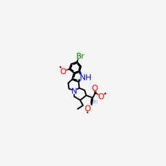 CCC1CN2CCc3c([nH]c4cc(Br)cc(OC)c34)C2CC1/C(=C\OC)C(=O)OC